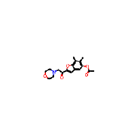 CC(=O)Oc1cc2cc(C(=O)CN3CCOCC3)oc2c(C)c1C